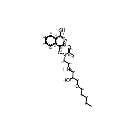 CCCCCOCC(O)CNCCN(Oc1nnc(S)c2ccccc12)C(C)=O